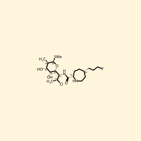 CS[C@H]1O[C@H]([C@H](NC(=O)[C@@H]2CC[C@H](CCCF)CCN2)[C@H](C)Cl)[C@H](O)[C@H](O)[C@H]1C